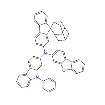 c1ccc(-n2c3ccccc3c3ccc(N(c4ccc5c(c4)C4(c6ccccc6-5)C5CC6CC(C5)CC4C6)c4ccc5c(c4)oc4ccccc45)cc32)cc1